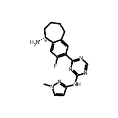 Cn1ccc(Nc2ncnc(-c3cc4c(cc3F)[C@H](N)CCCC4)n2)n1